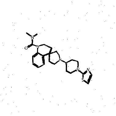 CN(C)C(=O)N1CCC2(CCN(C3CCN(c4nccs4)CC3)CC2)c2ccccc21